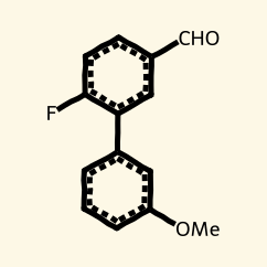 COc1cccc(-c2cc(C=O)ccc2F)c1